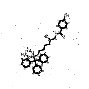 CO[Si](OC)(OCCCCC(O)COC(=O)c1ccc(O)cc1)C(c1ccccc1)(c1ccccc1)c1ccccc1